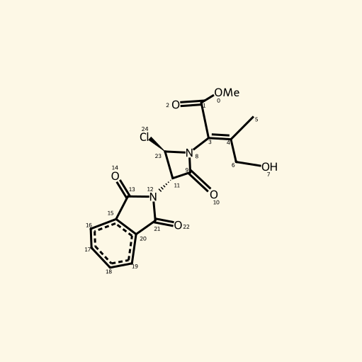 COC(=O)C(=C(C)CO)N1C(=O)[C@H](N2C(=O)c3ccccc3C2=O)[C@H]1Cl